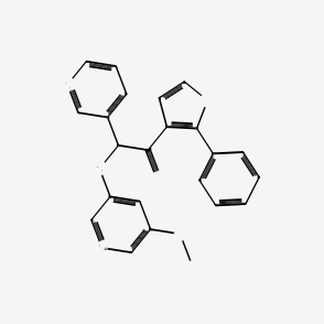 COc1cncc(NC(C(=O)c2ccoc2-c2ccccc2)c2cccnc2)c1